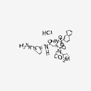 CCOC(=O)CN(C(=O)[C@H](CC(=O)NC[C@@H]1CCCN(C=NN)C1)NS(=O)(=O)c1ccc2ccccc2c1)C1CCCC1.Cl